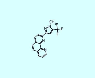 Cn1nc(-c2ccc3ccc4cccnc4c3n2)cc1C(F)(F)F